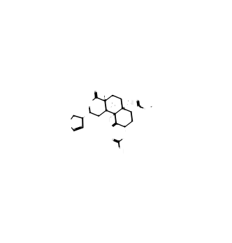 COC(=O)[C@@H]1C[C@H](OC(C)=O)C(=O)[C@H]2[C@@]1(N)CC[C@H]1C(=O)O[C@H](C3C=COC3)C[C@]21N